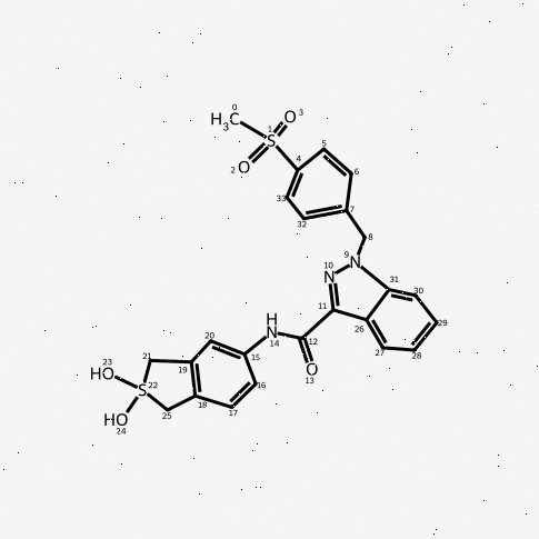 CS(=O)(=O)c1ccc(Cn2nc(C(=O)Nc3ccc4c(c3)CS(O)(O)C4)c3ccccc32)cc1